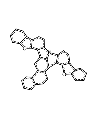 c1ccc2c(c1)ccc1c2cc2c3c4oc5ccccc5c4ccc3n3c4ccc5c6ccccc6oc5c4c1c23